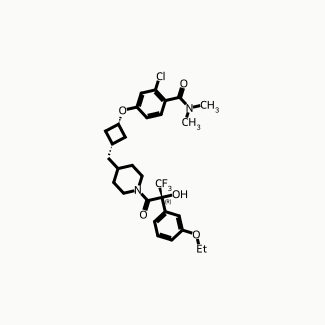 CCOc1cccc([C@@](O)(C(=O)N2CCC(C[C@H]3C[C@@H](Oc4ccc(C(=O)N(C)C)c(Cl)c4)C3)CC2)C(F)(F)F)c1